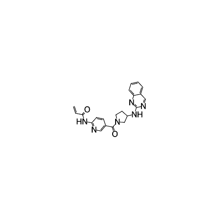 C=CC(=O)Nc1ccc(C(=O)N2CCC(Nc3ncc4ccccc4n3)C2)cn1